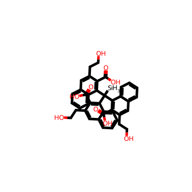 O=C(O)c1c(CCO)cc2ccccc2c1C([SiH3])(c1c(C(=O)O)c(CCO)cc2ccccc12)c1c(C(=O)O)c(CCO)cc2ccccc12